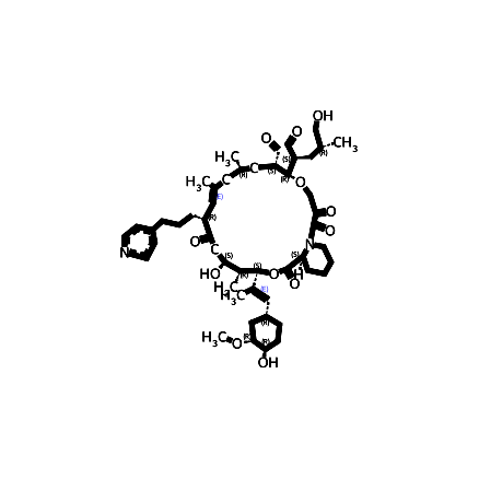 CO[C@@H]1C[C@H](/C=C(\C)[C@H]2OC(=O)[C@@H]3CCCCN3C(=O)C(=O)CO[C@@H]([C@@H](C=O)C[C@@H](C)CO)[C@@H](C=O)C[C@@H](C)C/C(C)=C/[C@@H](CCCc3ccncc3)C(=O)C[C@H](O)[C@H]2C)CC[C@H]1O